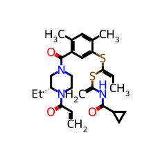 C=CC(=O)N1CCN(C(=O)c2cc(S/C(=C/C)SC(=C)NC(=O)C3CC3)c(C)cc2C)C[C@H]1CC